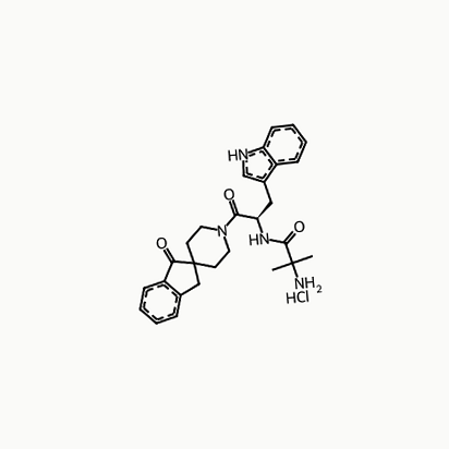 CC(C)(N)C(=O)N[C@H](Cc1c[nH]c2ccccc12)C(=O)N1CCC2(CC1)Cc1ccccc1C2=O.Cl